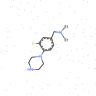 CCN(CC)Cc1ccc(N2CCNCC2)c(F)c1